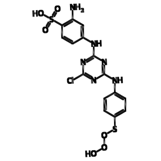 Nc1cc(Nc2nc(Cl)nc(Nc3ccc(SOOO)cc3)n2)ccc1S(=O)(=O)O